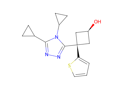 O[C@H]1C[C@](c2cccs2)(c2nnc(C3CC3)n2C2CC2)C1